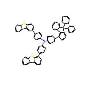 c1ccc(C2(c3ccccc3)c3ccccc3-c3c(-c4ccc(N(c5ccc(-c6ccc7sc8ccccc8c7c6)cc5)c5ccc(-c6cccc7c6sc6ccccc67)cc5)cc4)cccc32)cc1